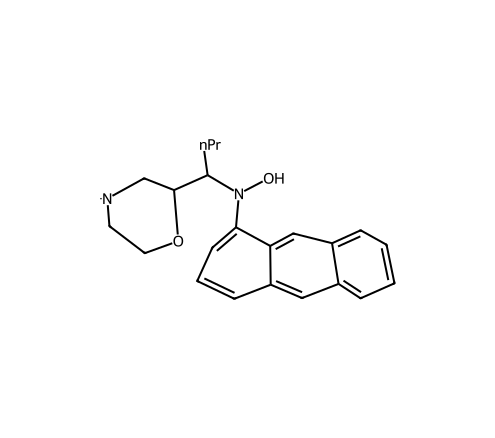 CCCC(C1C[N]CCO1)N(O)c1cccc2cc3ccccc3cc12